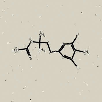 CC(C)(CCc1cc(F)c(N)c(I)c1)OC(N)=O